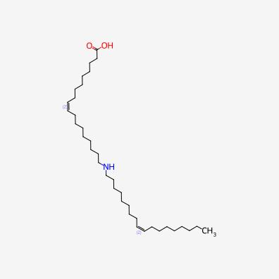 CCCCCCCC/C=C\CCCCCCCCNCCCCCCCC/C=C\CCCCCCCC(=O)O